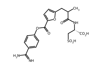 CC(Cc1ccc(C(=O)Oc2ccc(C(=N)N)cc2)o1)C(=O)N[C@@H](CS(=O)(=O)O)C(=O)O